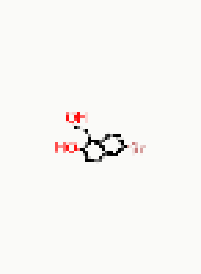 OCCc1c(O)ccc2cc(Br)ccc12